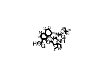 CCC1(CC)CC(=O)N([C@@H]2CCCc3ccc(C(=O)O)cc32)/C(=N/C(=O)OC(C)(C)C)N1